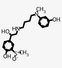 CN(CCCCNCC(O)c1ccc(O)c([S+](C)[O-])c1)c1cccc(O)c1